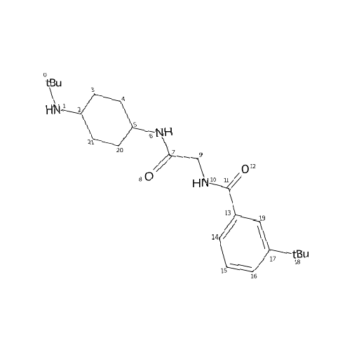 CC(C)(C)NC1CCC(NC(=O)CNC(=O)c2cccc(C(C)(C)C)c2)CC1